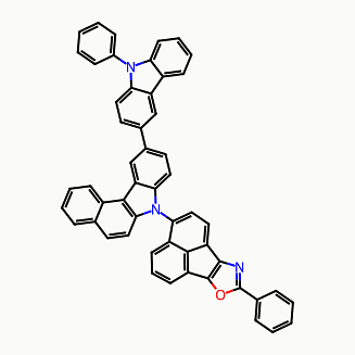 c1ccc(-c2nc3c(o2)-c2cccc4c(-n5c6ccc(-c7ccc8c(c7)c7ccccc7n8-c7ccccc7)cc6c6c7ccccc7ccc65)ccc-3c24)cc1